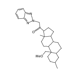 COCC12CCC(C)CC1CCC1C3CCC(C(=O)Cn4nc5ccccc5n4)C3(C)CCC12